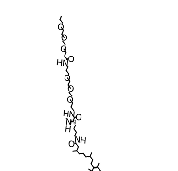 CCCOCCOCCOCCC(=O)NCCCOCCOCCOCCCNC(=O)[C@H](CCCCNC(=O)CC(C)CCCC(C)CCC1=C(C)CCCC1(C)C)NC